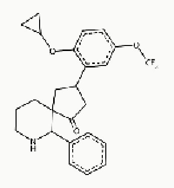 O=C1CC(c2cc(OC(F)(F)F)ccc2OC2CC2)CC12CCCNC2c1ccccc1